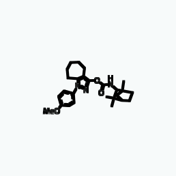 COc1ccc(-n2nc(OC(=O)NC3C4(C)CCC(C4)C3(C)C)c3c2CCCCC3)cc1